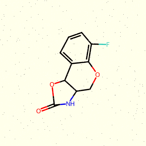 O=C1NC2COc3c(F)cccc3C2O1